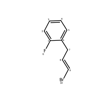 Fc1ccccc1CC=CBr